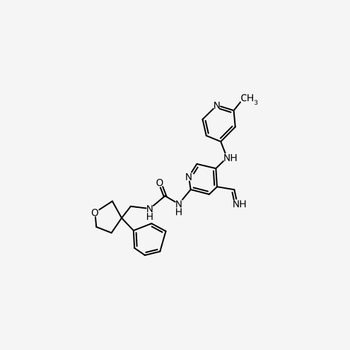 Cc1cc(Nc2cnc(NC(=O)NCC3(c4ccccc4)CCOC3)cc2C=N)ccn1